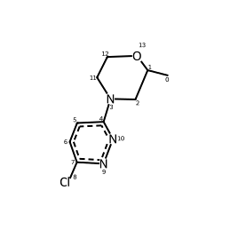 CC1CN(c2ccc(Cl)nn2)CCO1